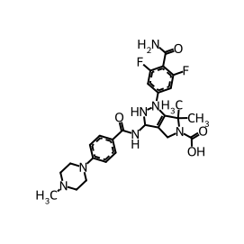 CN1CCN(c2ccc(C(=O)NC3NN(c4cc(F)c(C(N)=O)c(F)c4)C4=C3CN(C(=O)O)C4(C)C)cc2)CC1